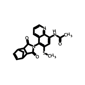 CSc1cc(NC(C)=O)c2ncccc2c1N1C(=O)C2C3C=CC(C3)C2C1=O